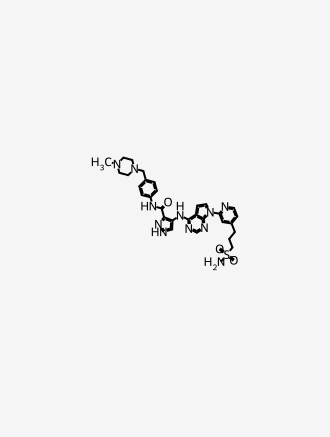 CN1CCN(Cc2ccc(NC(=O)c3n[nH]cc3Nc3ncnc4c3ccn4-c3cc(CCCS(N)(=O)=O)ccn3)cc2)CC1